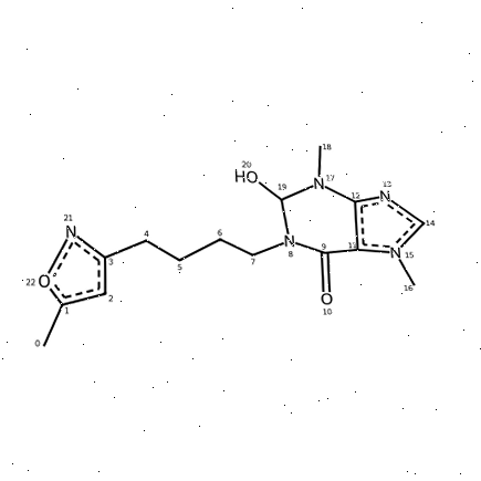 Cc1cc(CCCCN2C(=O)c3c(ncn3C)N(C)C2O)no1